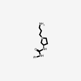 CC(C)NC(=O)N[C@@H]1CCN(CCCN)C1